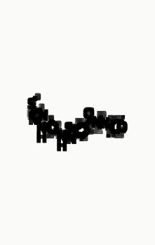 CSc1cnc(N[C@H]2CC[C@H](Nc3nc4ccc(C(=O)N5CN(C6CCOCC6)C5)cc4s3)C2)nc1